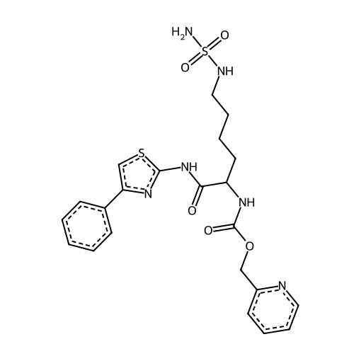 NS(=O)(=O)NCCCCC(NC(=O)OCc1ccccn1)C(=O)Nc1nc(-c2ccccc2)cs1